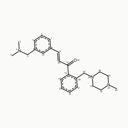 CN(C)Cc1cccc(C=CC(=O)c2ccccc2CN2CCN(C)CC2)c1